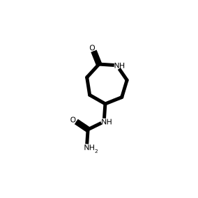 NC(=O)NC1CCNC(=O)CC1